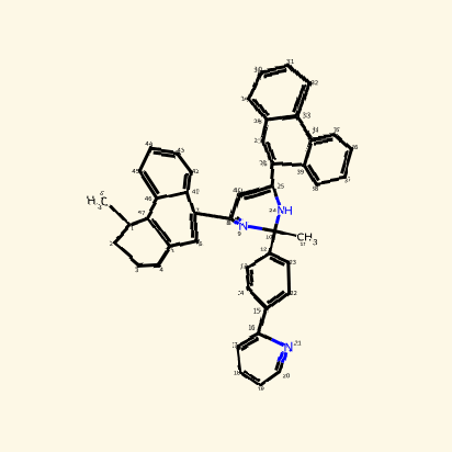 CC1CCCc2cc(C3=NC(C)(c4ccc(-c5ccccn5)cc4)NC(c4cc5ccccc5c5ccccc45)=C3)c3ccccc3c21